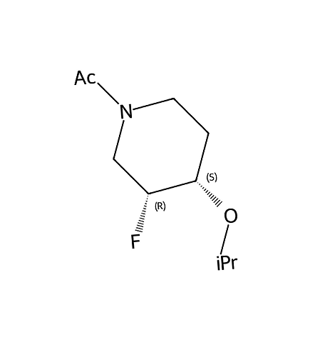 CC(=O)N1CC[C@H](OC(C)C)[C@H](F)C1